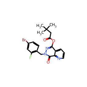 CC(C)(C)CC(=O)Oc1nn(Cc2ccc(Br)cc2F)c(=O)c2ncccc12